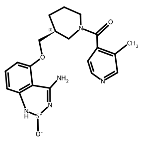 Cc1cnccc1C(=O)N1CCC[C@H](COc2cccc3c2C(N)=N[S+]([O-])N3)C1